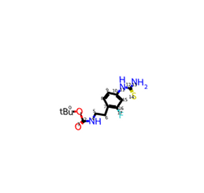 CC(C)(C)OC(=O)NCCc1ccc(NC(N)=S)cc1F